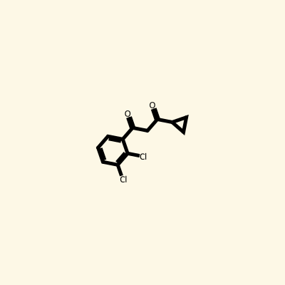 O=C(CC(=O)C1CC1)c1cccc(Cl)c1Cl